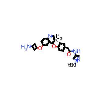 Cc1cc(CC(=O)Nc2cnn(C(C)(C)C)c2)ccc1Oc1ccnc2ccc(OC3CC(N)C3)cc12